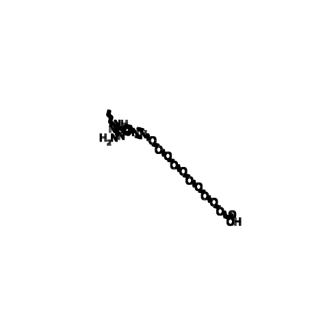 CCCCc1nc2c(N)nc3cc(N4CCN(CCOCCOCCOCCOCCOCCOCCOCCOCCOCCOCCC(=O)O)CC4)ccc3c2[nH]1